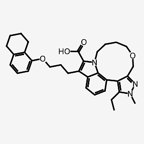 CCc1c2c(nn1C)COCCCCn1c(C(=O)O)c(CCCOc3cccc4c3CCCC4)c3cccc-2c31